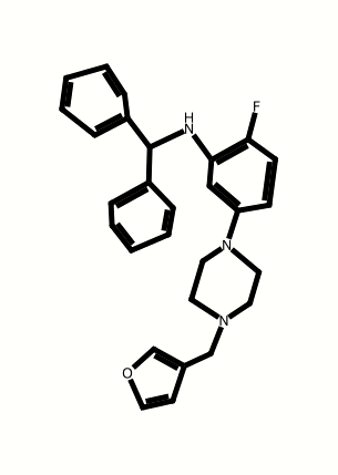 Fc1ccc(N2CCN(Cc3ccoc3)CC2)cc1NC(c1ccccc1)c1ccccc1